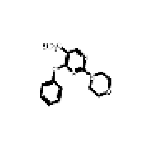 CCOC(=O)c1cnc(N2CCOCC2)nc1Oc1ccccc1